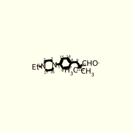 CCN1CCN(c2ccc(CC(C)(C)[C]=O)cc2)CC1